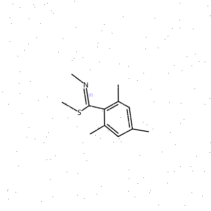 C/N=C(\SC)c1c(C)cc(C)cc1C